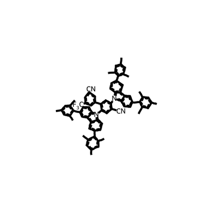 Cc1cc(C)c(-c2ccc3c(c2)c2cc(-c4c(C)cc(C)cc4C)ccc2n3-c2cc(-c3cc(C#N)cc(C(F)(F)F)c3)c(-n3c4ccc(-c5c(C)cc(C)cc5C)cc4c4cc(-c5c(C)cc(C)cc5C)ccc43)cc2C#N)c(C)c1